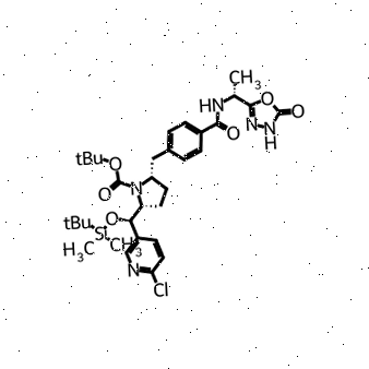 C[C@@H](NC(=O)c1ccc(C[C@@H]2CC[C@H]([C@H](O[Si](C)(C)C(C)(C)C)c3ccc(Cl)nc3)N2C(=O)OC(C)(C)C)cc1)c1n[nH]c(=O)o1